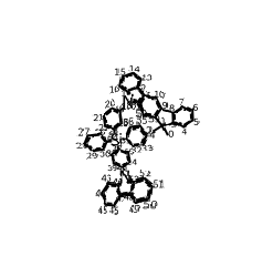 CC1(C)c2ccccc2-c2cc3c4ccccc4n(-c4cccc([Si](c5ccccc5)(c5ccccc5)c5ccc(-n6c7ccccc7c7ccccc76)cc5)c4)c3cc21